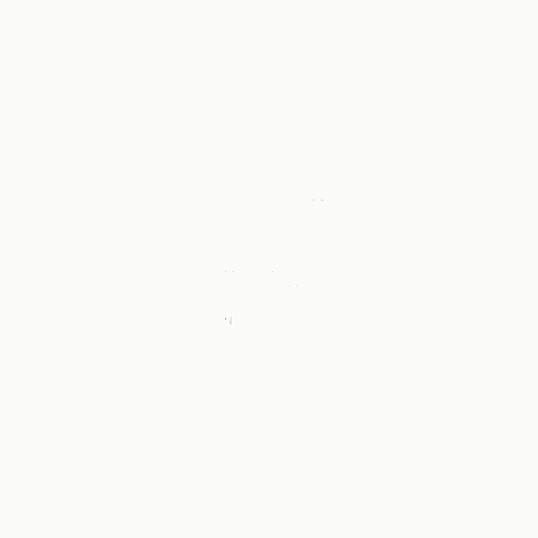 C[N+](C)(C)CC(O)C(=O)c1cccc(O)c1